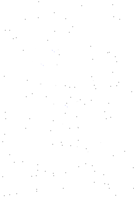 O=C(c1cccs1)N(CCCn1ccnc1)Cc1ccccc1